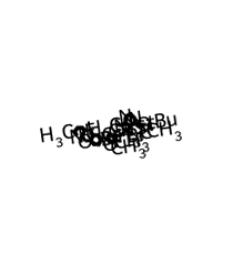 Cc1cccc(Oc2ccc(B3OC(C)(C)C(C)(Cc4c(Br)c5c(CO[Si](C)(C)C(C)(C)C)ncnc5n4C)O3)cc2F)n1